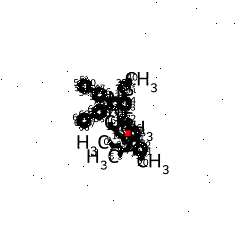 CCCCC(CC)C[Si]1(CC(CC)CCCC)c2cc(C)ccc2-c2ccc(-c3ccc(-c4ccc(-c5ccc(C)s5)c5nc(-c6ccc(-c7ccccc7)cc6)c(-c6ccc(-c7ccccc7)cc6)nc45)s3)cc21